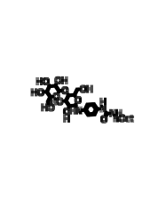 CCCCCCCCNC(=O)Nc1ccc(NC2OC(CO)C(OC3OC(CO)C(O)C(O)C3O)C(O)C2O)cc1